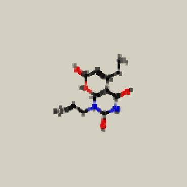 C=CCn1c(=O)[nH]c(=O)c2c(CC)cc(=O)oc21